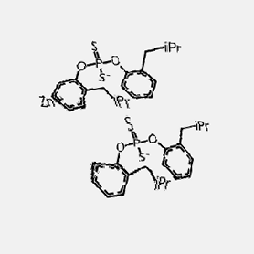 CC(C)Cc1ccccc1OP(=S)([S-])Oc1ccccc1CC(C)C.CC(C)Cc1ccccc1OP(=S)([S-])Oc1ccccc1CC(C)C.[Zn+2]